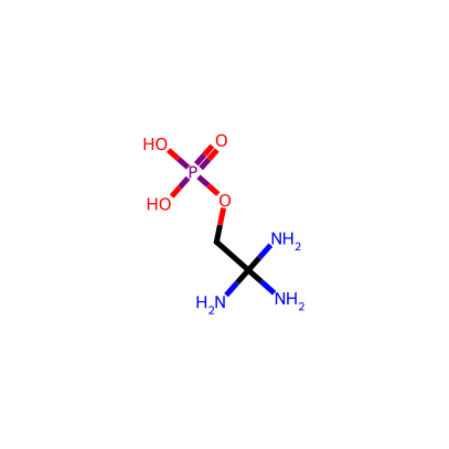 NC(N)(N)COP(=O)(O)O